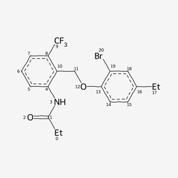 CCC(=O)Nc1cccc(C(F)(F)F)c1COc1ccc(CC)cc1Br